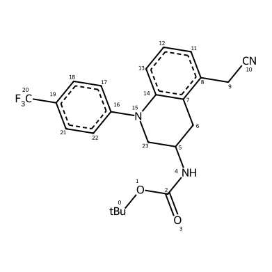 CC(C)(C)OC(=O)NC1Cc2c(CC#N)cccc2N(c2ccc(C(F)(F)F)cc2)C1